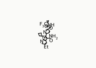 CCc1cnc2c(c1)c(C(N)=O)c(-c1ccc(S(=O)(=O)NC3(C(F)(F)F)CC3)cn1)n2C1CCC1